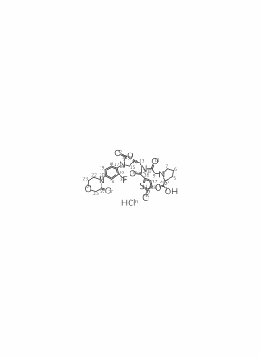 Cl.O=C(O)[C@@H]1CCCN1CC(=O)N(C[C@H]1CN(c2ccc(N3CCOCC3=O)cc2F)C(=O)O1)C(=O)c1ccc(Cl)s1